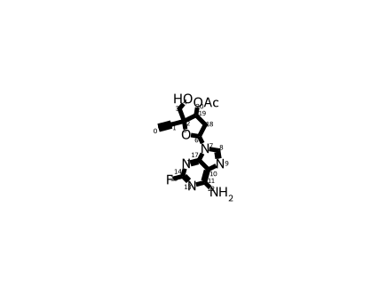 C#CC1(CO)OC(n2cnc3c(N)nc(F)nc32)CC1OC(C)=O